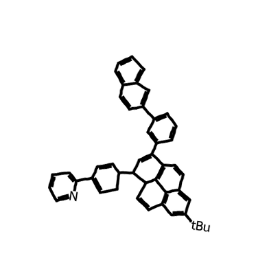 CC(C)(C)c1cc2c3c4c(ccc3c1)C(c1cccc(-c3ccc5ccccc5c3)c1)=CC(C1C=CC(c3ccccn3)=CC1)C4C=C2